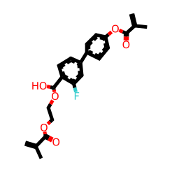 C=C(C)C(=O)OCCOC(O)c1ccc(-c2ccc(OC(=O)C(=C)C)cc2)cc1F